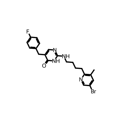 Cc1cc(Br)cnc1CCCCNc1ncc(Cc2ccc(F)cc2)c(=O)[nH]1